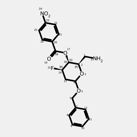 NC[C@H]1OC(OCc2ccccc2)C[C@@H](F)[C@H]1OC(=O)c1ccc([N+](=O)[O-])cc1